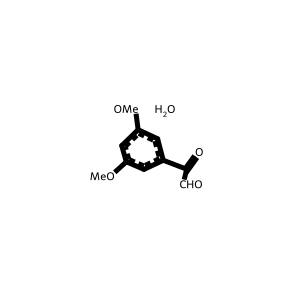 COc1cc(OC)cc(C(=O)C=O)c1.O